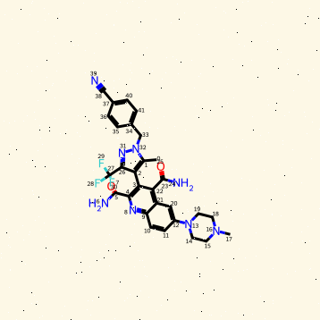 Cc1c(-c2c(C(N)=O)nc3ccc(N4CCN(C)CC4)cc3c2C(N)=O)c(C(F)(F)F)nn1Cc1ccc(C#N)cc1